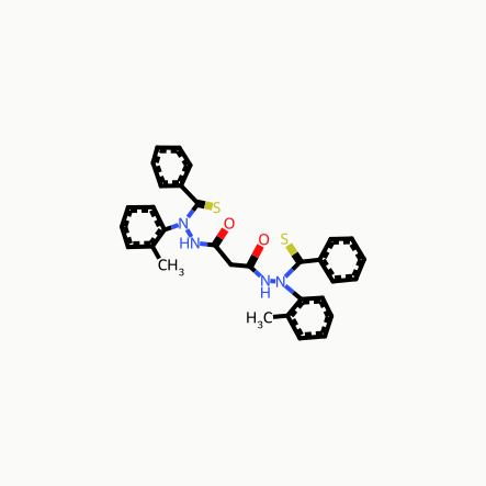 Cc1ccccc1N(NC(=O)CC(=O)NN(C(=S)c1ccccc1)c1ccccc1C)C(=S)c1ccccc1